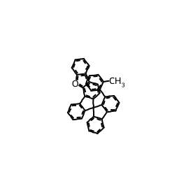 Cc1ccccc1-c1cccc2c1C1(c3ccccc3-2)c2ccccc2-c2c1ccc1c2oc2ccccc21